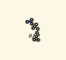 CC1(C)c2c(ccc3cc(-c4cccc(-c5c6ccccc6c(-c6ccc7c(c6)c6ccccc6n7-c6ccccc6)c6ccccc56)c4)ccc23)-c2c1c1ccccc1c1ccccc21